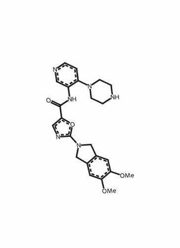 COc1cc2c(cc1OC)CN(c1ncc(C(=O)Nc3cnccc3N3CCNCC3)o1)C2